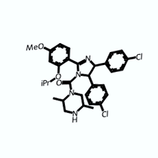 COc1ccc(C2=NC(c3ccc(Cl)cc3)C(c3ccc(Cl)cc3)N2C(=O)N2CC(C)NCC2C)c(OC(C)C)c1